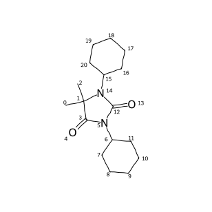 CC1(C)C(=O)N(C2CCCCC2)C(=O)N1C1CCCCC1